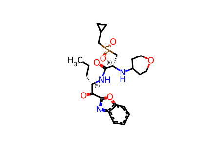 CCC[C@H](NC(=O)[C@H](CS(=O)(=O)CC1CC1)NC1CCOCC1)C(=O)c1nc2ccccc2o1